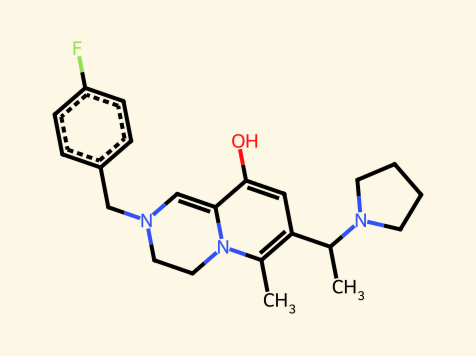 CC1=C(C(C)N2CCCC2)C=C(O)C2=CN(Cc3ccc(F)cc3)CCN21